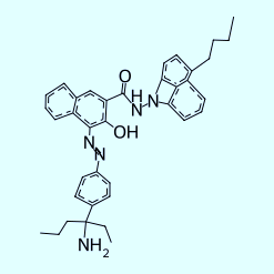 CCCCc1ccc2c3c(cccc13)N2NC(=O)c1cc2ccccc2c(N=Nc2ccc(C(N)(CC)CCC)cc2)c1O